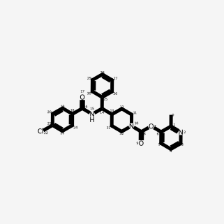 Cc1ncccc1OC(=O)N1CCC(C(NC(=O)c2ccc(Cl)cc2)c2ccccc2)CC1